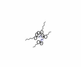 CCCCCCOC(=O)/C=C\C(=O)OCCCCCC.CCCCOC(=O)/C=C/C(=O)OCCCC